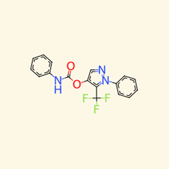 O=C(Nc1ccccc1)Oc1cnn(-c2ccccc2)c1C(F)(F)F